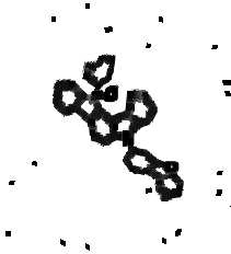 O=P1(c2ccccc2)c2ccccc2-c2ccc3c(c21)c1ccccc1n3-c1ccc2c(c1)oc1ccccc12